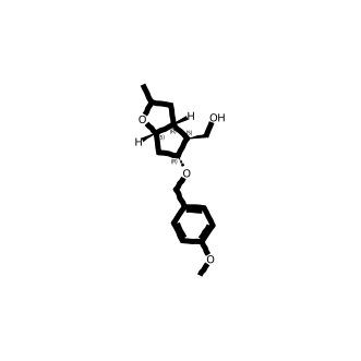 COc1ccc(CO[C@@H]2C[C@@H]3OC(C)C[C@@H]3[C@H]2CO)cc1